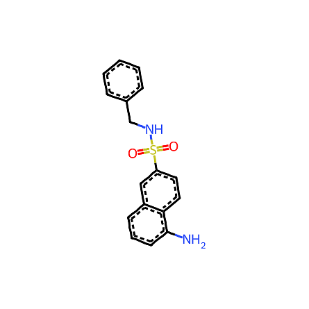 Nc1cccc2cc(S(=O)(=O)NCc3ccccc3)ccc12